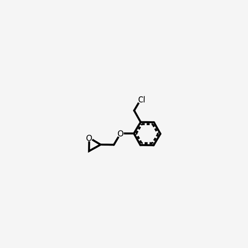 ClCc1ccccc1OCC1CO1